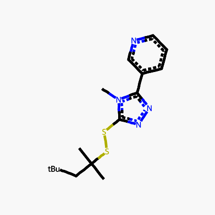 Cn1c(SSC(C)(C)CC(C)(C)C)nnc1-c1cccnc1